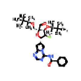 CC(C)(C)[Si](C)(C)OC[C@@]1(C=O)O[C@@H](c2cc3ncnc(NC(=O)c4ccccc4)n3c2)[C@H](F)[C@@H]1O[Si](C)(C)C(C)(C)C